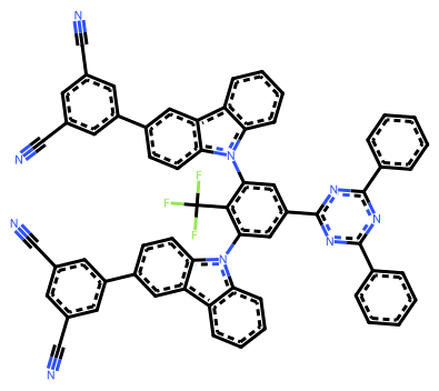 N#Cc1cc(C#N)cc(-c2ccc3c(c2)c2ccccc2n3-c2cc(-c3nc(-c4ccccc4)nc(-c4ccccc4)n3)cc(-n3c4ccccc4c4cc(-c5cc(C#N)cc(C#N)c5)ccc43)c2C(F)(F)F)c1